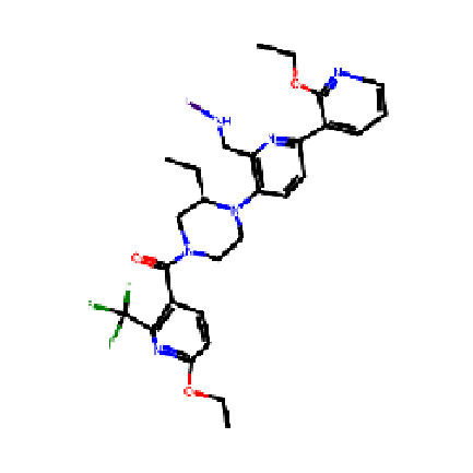 CCOc1ccc(C(=O)N2CCN(c3ccc(-c4cccnc4OCC)nc3CNI)[C@H](CC)C2)c(C(F)(F)F)n1